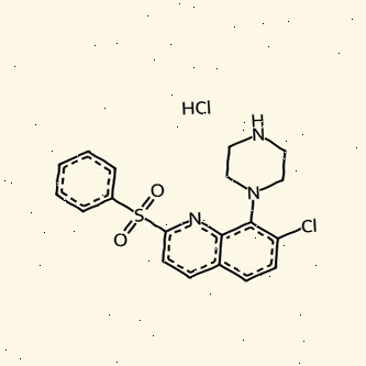 Cl.O=S(=O)(c1ccccc1)c1ccc2ccc(Cl)c(N3CCNCC3)c2n1